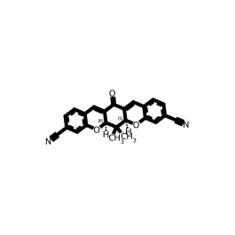 CC1(C)[C@@H]2Oc3cc(C#N)ccc3C=C2C(=O)C2=Cc3ccc(C#N)cc3O[C@@H]21